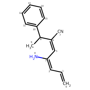 C=C/C=C(N)\C=C(\C#N)C(C)c1ccccc1